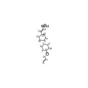 C=CCOC1CCC([C@H]2CC[C@H](/C=C/CCCC)CC2)CC1